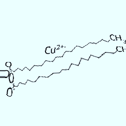 CCCCCCCCCCCCCCCCCCCCC(=O)[O-].CCCCCCCCCCCCCCCCCCCCC(=O)[O-].[Cu+2]